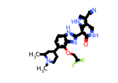 CC1CC(c2ccc3[nH]c(-c4c(=O)[nH]cc5c(C#N)c[nH]c45)nc3c2OCC(F)F)CCN1C